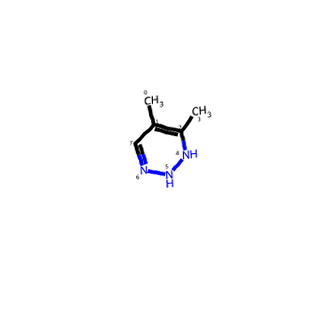 CC1=C(C)NNN=C1